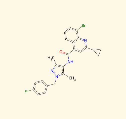 Cc1nn(Cc2ccc(F)cc2)c(C)c1NC(=O)c1cc(C2CC2)nc2c(Br)cccc12